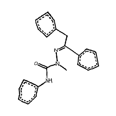 CN(N=C(Cc1ccccc1)c1ccccc1)C(=O)Nc1ccccc1